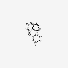 CN1CCN(c2nccc(N)c2[N+](=O)[O-])CC1